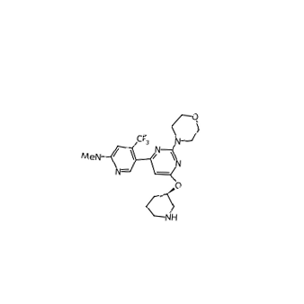 CNc1cc(C(F)(F)F)c(-c2cc(O[C@@H]3CCCNC3)nc(N3CCOCC3)n2)cn1